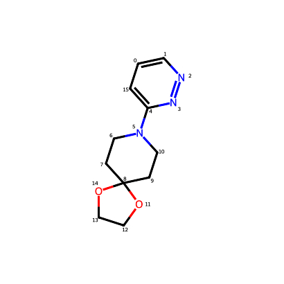 c1cnnc(N2CCC3(CC2)OCCO3)c1